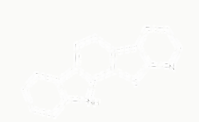 c1ccc2c(c1)[nH]c1c2ccc2c3cccnc3sc21